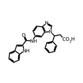 O=C(O)CC(c1ccccc1)n1cnc2ccc(NC(=O)c3cc4ccccc4[nH]3)cc21